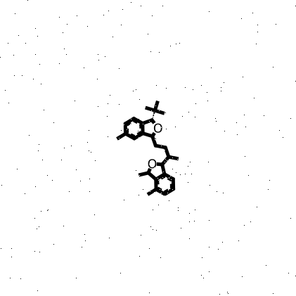 Cc1ccc2c(c1)C(CCC(C)C1OC(C)c3c(C)cccc31)O[C@H]2C(C)(C)C